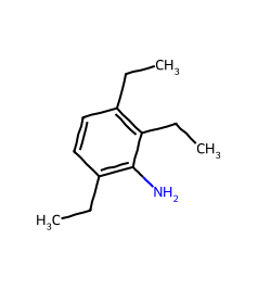 CCc1ccc(CC)c(CC)c1N